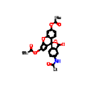 CCC(=O)Nc1ccc2c(c1)C(=O)OC21c2ccc(OC(=O)C(C)(C)C)cc2Oc2cc(OC(=O)C(C)(C)C)ccc21